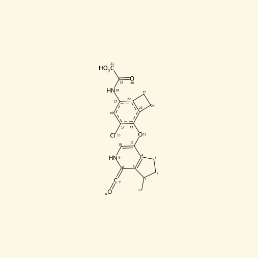 CC1CCC2=C1C(=C=O)NC=C2Oc1c(Cl)cc(NC(=O)C(=O)O)c2c1CC2